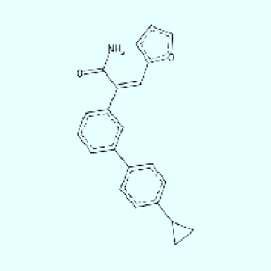 NC(=O)C(=Cc1ccco1)c1cccc(-c2ccc(C3CC3)cc2)c1